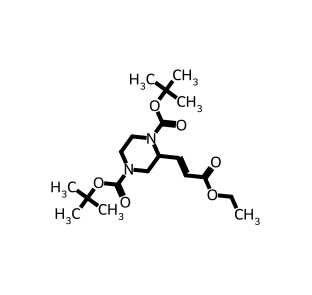 CCOC(=O)C=CC1CN(C(=O)OC(C)(C)C)CCN1C(=O)OC(C)(C)C